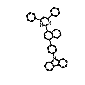 c1ccc(-c2cc(-c3ccccc3)nc(-c3ccc(-c4ccc(-n5c6ccccc6c6ccccc65)cc4)c4ccccc34)n2)cc1